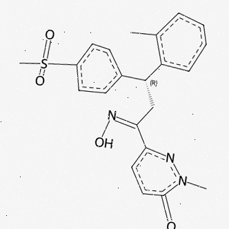 Cc1ccccc1[C@H](CC(=NO)c1ccc(=O)n(C)n1)c1ccc(S(C)(=O)=O)cc1